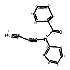 C#CC#CN(C(=O)c1ccccc1)c1ccccc1